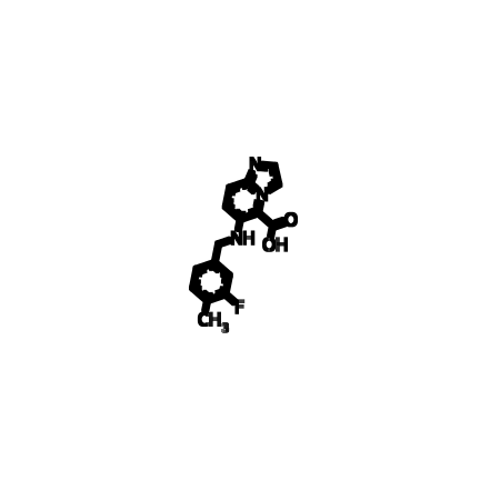 Cc1ccc(CNc2ccc3nccn3c2C(=O)O)cc1F